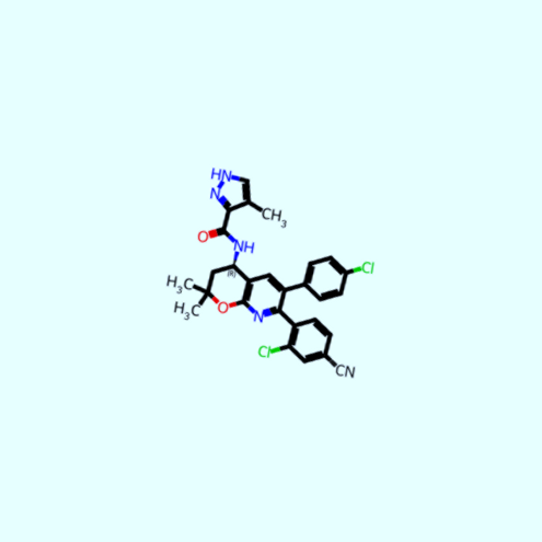 Cc1c[nH]nc1C(=O)N[C@@H]1CC(C)(C)Oc2nc(-c3ccc(C#N)cc3Cl)c(-c3ccc(Cl)cc3)cc21